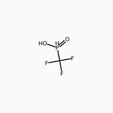 O=[PH](O)C(F)(F)F